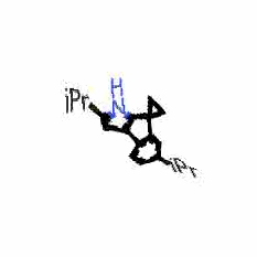 CC(C)c1ccc2c(c1)C1(CC1)c1[nH]c(C(C)C)cc1-2